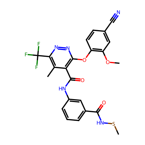 COc1cc(C#N)ccc1Oc1nnc(C(F)(F)F)c(C)c1C(=O)Nc1cccc(C(=O)NSC)c1